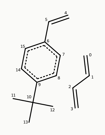 C=CC=C.C=Cc1ccc(C(C)(C)C)cc1